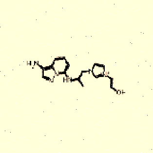 CC(Cn1cc[n+](CCO)c1)Nc1cccc2c(N)cnn12